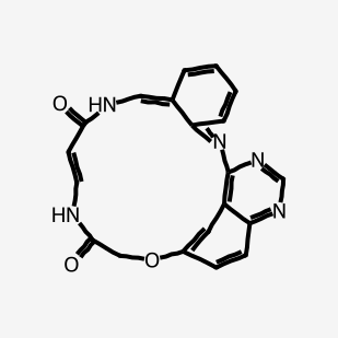 O=C1/C=C/NC(=O)COc2ccc3ncnc(c3c2)/N=c2\cccc\c2=C\N1